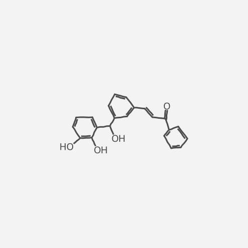 O=C(C=Cc1cccc(C(O)c2cccc(O)c2O)c1)c1ccccc1